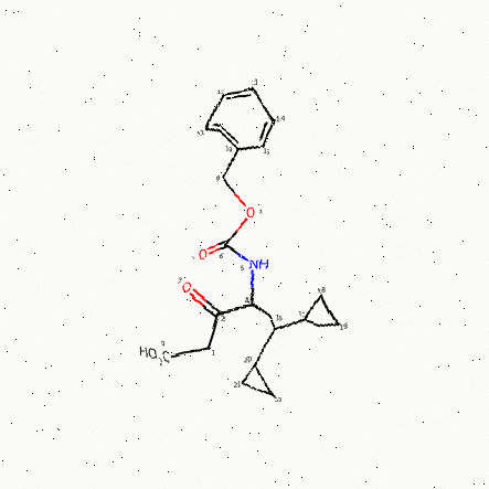 O=C(O)CC(=O)C(NC(=O)OCc1ccccc1)C(C1CC1)C1CC1